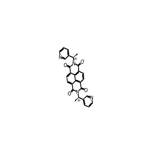 C[C@H](c1cccnc1)N1C(=O)c2ccc3c4c(ccc(c24)C1=O)C(=O)N([C@H](C)c1cccnc1)C3=O